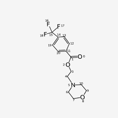 O=C(OCCN1CCOCC1)c1ccc(C(F)(F)F)cc1